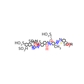 Cc1cc(N=Nc2ccc3c(S(=O)(=O)O)c(N=Nc4cnn(-c5cc(S(=O)(=O)O)c6cc(S(=O)(=O)O)cc(S(=O)(=O)O)c6c5)c4O)ccc3c2O)c(OCCCS(=O)(=O)O)cc1N=Nc1nc2ccc(CO)c(S(=O)(=O)O)c2s1